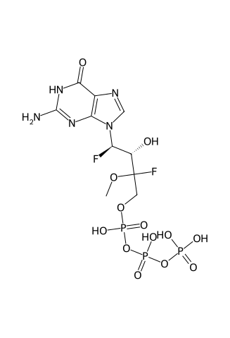 COC(F)(COP(=O)(O)OP(=O)(O)OP(=O)(O)O)[C@@H](O)[C@@H](F)n1cnc2c(=O)[nH]c(N)nc21